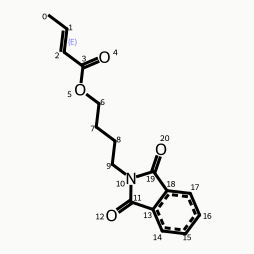 C/C=C/C(=O)OCCCCN1C(=O)c2ccccc2C1=O